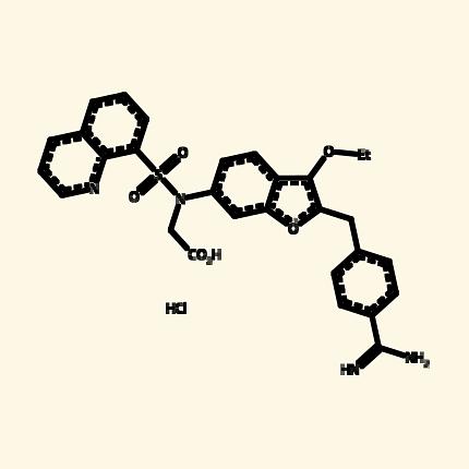 CCOc1c(Cc2ccc(C(=N)N)cc2)oc2cc(N(CC(=O)O)S(=O)(=O)c3cccc4cccnc34)ccc12.Cl